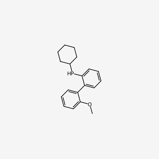 COc1ccccc1-c1ccccc1PC1CCCCC1